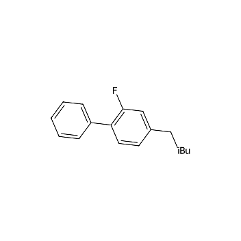 CCC(C)Cc1ccc(-c2ccccc2)c(F)c1